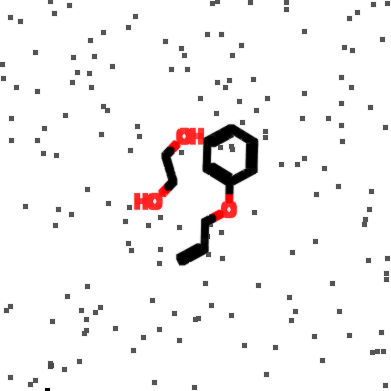 C=CCOc1ccccc1.OCCO